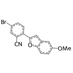 COc1ccc2oc(-c3ccc(Br)cc3C#N)cc2c1